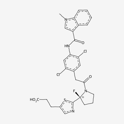 Cn1cc(C(=O)Nc2cc(Cl)c(CC(=O)N3CCC[C@]3(F)c3ncc(CCC(=O)O)s3)cc2Cl)c2ccccc21